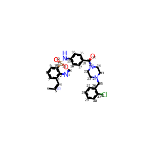 C=Nc1c(/C=C\C)cccc1S(=O)(=O)Nc1ccc(C(=O)N2CCN(Cc3ccccc3Cl)CC2)cc1